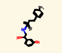 CCC(C)(CCc1ccc([N+](=O)[O-])cc1)NCC(O)c1cccc(O)c1